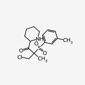 Cc1cccc(S(=O)(=O)C(C)(CCl)C(=O)C2CCCCN2)c1